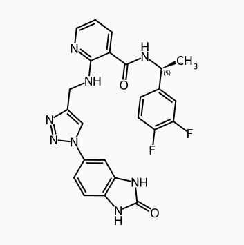 C[C@H](NC(=O)c1cccnc1NCc1cn(-c2ccc3[nH]c(=O)[nH]c3c2)nn1)c1ccc(F)c(F)c1